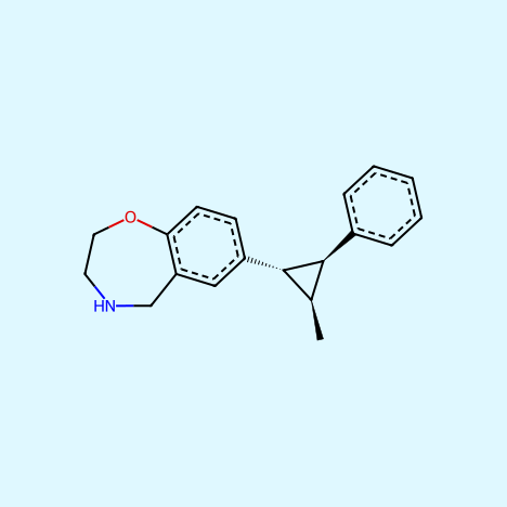 C[C@@H]1[C@H](c2ccccc2)[C@H]1c1ccc2c(c1)CNCCO2